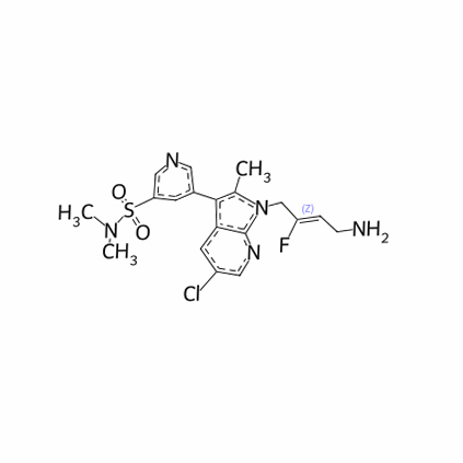 Cc1c(-c2cncc(S(=O)(=O)N(C)C)c2)c2cc(Cl)cnc2n1C/C(F)=C/CN